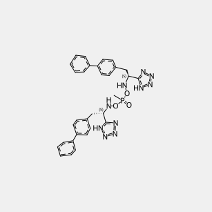 CP(=O)(ON[C@@H](Cc1ccc(-c2ccccc2)cc1)c1nnn[nH]1)ON[C@@H](Cc1ccc(-c2ccccc2)cc1)c1nnn[nH]1